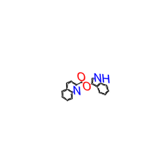 O=C(Oc1c[nH]c2ccccc12)c1ccc2ccccc2n1